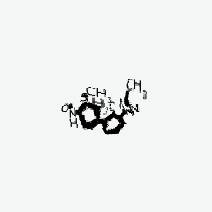 CSc1cc(-c2cccc(-c3nc(C)no3)c2C)ccc1NC=O